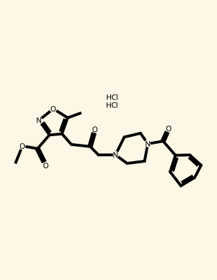 COC(=O)c1noc(C)c1CC(=O)CN1CCN(C(=O)c2ccccc2)CC1.Cl.Cl